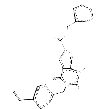 C=Cc1ccc(Cn2c(=O)c3cc(C(=O)OCc4ccccc4)sc3n(C)c2=O)cc1